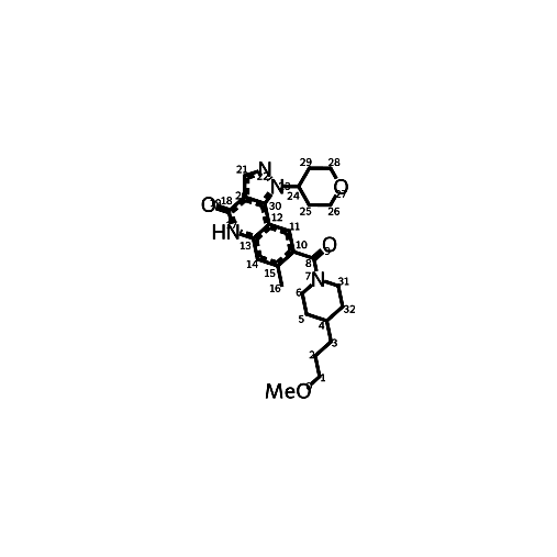 COCCCC1CCN(C(=O)c2cc3c(cc2C)[nH]c(=O)c2cnn(C4CCOCC4)c23)CC1